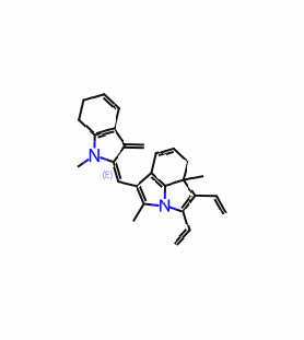 C=CC1=C(C=C)C2(C)CC=Cc3c(/C=c4\c(=C)c5c(n4C)CCC=C5)c(C)n1c32